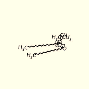 CCCCCCCCCCCCCCCC(=O)Cl.CCCCCCCCCCCCCCCCOP(=O)([O-])OCC[N+](C)(C)C